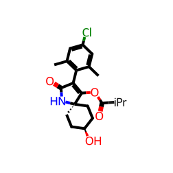 Cc1cc(Cl)cc(C)c1C1=C(OC(=O)C(C)C)[C@]2(CC[C@H](O)CC2)NC1=O